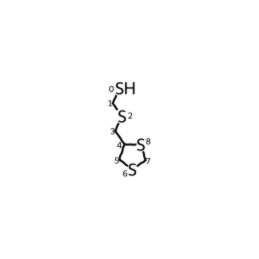 SCSCC1CSCS1